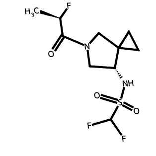 C[C@@H](F)C(=O)N1C[C@@H](NS(=O)(=O)C(F)F)C2(CC2)C1